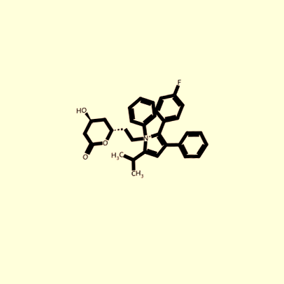 CC(C)C1=CC(c2ccccc2)=C(c2ccc(F)cc2)[N+]1(CC[C@H]1C[C@H](O)CC(=O)O1)c1ccccc1